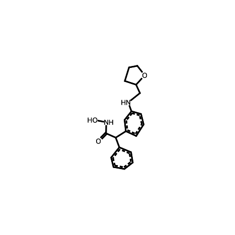 O=C(NO)C(c1ccccc1)c1cccc(NCC2CCCO2)c1